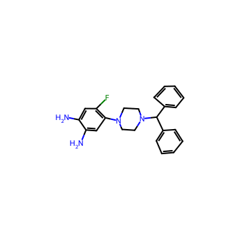 Nc1cc(F)c(N2CCN(C(c3ccccc3)c3ccccc3)CC2)cc1N